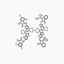 N#CC(C#N)=C1/C(=C/c2cc3c(s2)C2=C(c4sc5cc(/C=C6/C(=O)c7ccccc7C6=C(C#N)C#N)sc5c4C24CCC(C2CCC5(CC2)C2=C(c6sc(/C=C7\C(=O)C(=O)c8cc(F)cc(F)c87)cc65)C5(CCCCC5)c5c2sc2cc(/C=C6\C(=O)C(=O)c7c(F)cc(F)cc76)sc52)CC4)C32CCCCC2)C(=O)c2ccccc21